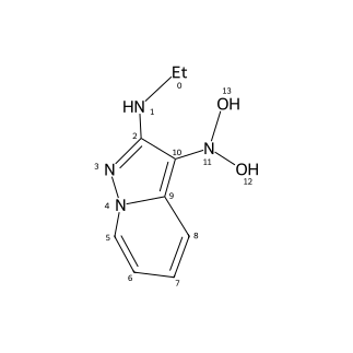 CCNc1nn2ccccc2c1N(O)O